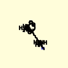 C/C=C/CNC(=N)NCCCCCCCCN1CCCCOc2ccccc2CNC(N)NC1=O